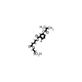 C=C(C)C(=O)Oc1ccc(I)c(C(=O)OCCCC(=O)OCCS(=O)(=O)O)c1